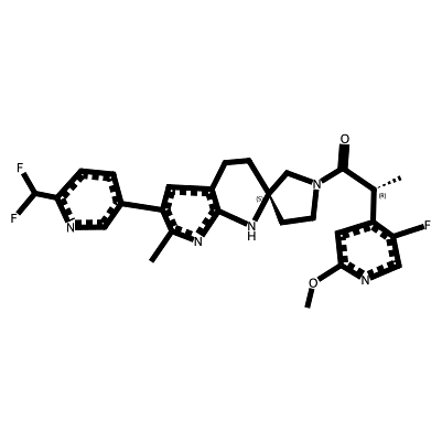 COc1cc([C@@H](C)C(=O)N2CC[C@@]3(CCc4cc(-c5ccc(C(F)F)nc5)c(C)nc4N3)C2)c(F)cn1